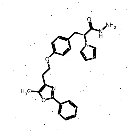 Cc1oc(-c2ccccc2)nc1CCOc1ccc(C[C@@H](C(=O)NN)n2cccc2)cc1